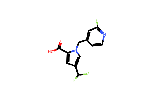 O=C(O)c1cc(C(F)F)cn1Cc1ccnc(F)c1